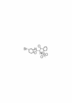 CS(=O)(=O)O/N=C(\C(=O)c1ccccc1)c1nc2cc(Br)ccc2o1